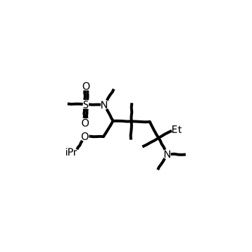 CCC(C)(CC(C)(C)C(COC(C)C)N(C)S(C)(=O)=O)N(C)C